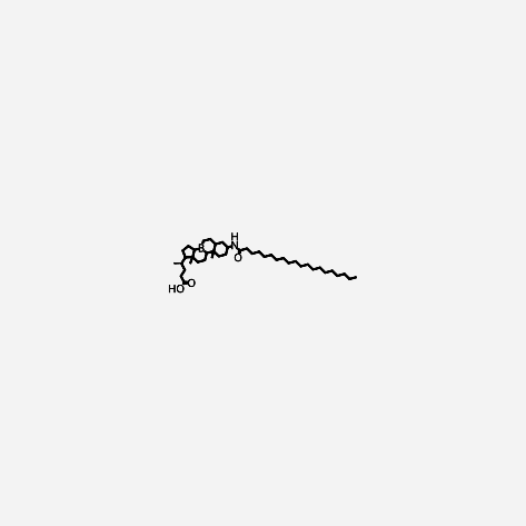 CCCCCCCCCCCCCCCCCCCC(=O)NC1CCC2(C)C(CCB3C2CCC2(C)C3CCC2[C@H](C)CCC(=O)O)C1